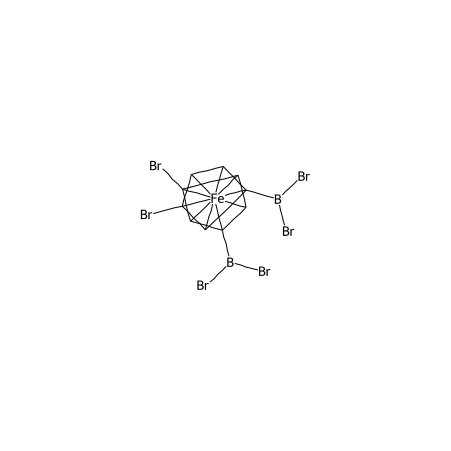 BrB(Br)[C]12[CH]3[CH]4[C]5(Br)[CH]1[Fe]43521678[CH]2[CH]1[C]6(B(Br)Br)[CH]7[C]28Br